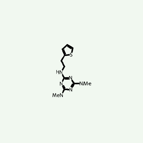 CNc1nc(NC)nc(NCCc2cccs2)n1